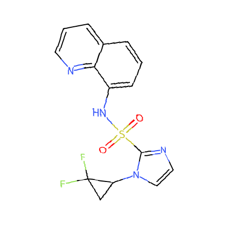 O=S(=O)(Nc1cccc2cccnc12)c1nccn1C1CC1(F)F